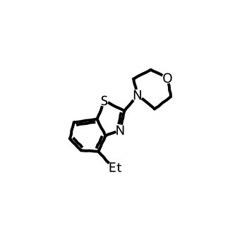 CCc1cccc2sc(N3CCOCC3)nc12